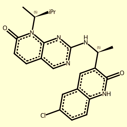 CC(C)[C@H](C)n1c(=O)ccc2cnc(N[C@@H](C)c3cc4cc(Cl)ccc4[nH]c3=O)nc21